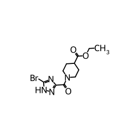 CCOC(=O)C1CCN(C(=O)c2n[nH]c(Br)n2)CC1